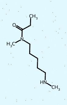 CCC(=O)N(C)CCCCCNC